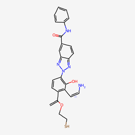 C=C(OCCS)c1ccc(-n2nc3ccc(C(=O)Nc4ccccc4)cc3n2)c(O)c1/C=C\N